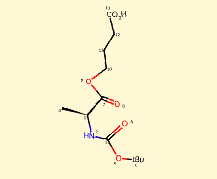 C[C@H](NC(=O)OC(C)(C)C)C(=O)OCCCC(=O)O